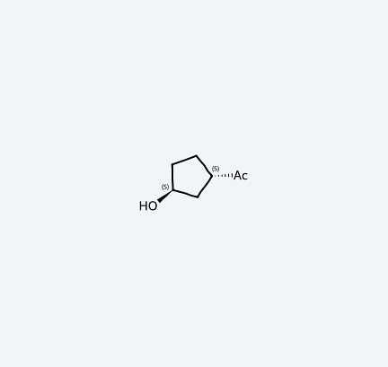 CC(=O)[C@H]1CC[C@H](O)C1